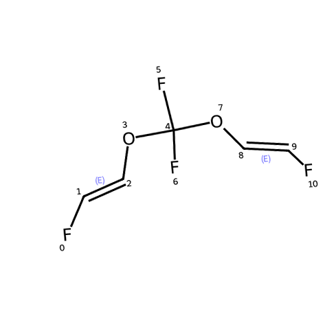 F/C=C/OC(F)(F)O/C=C/F